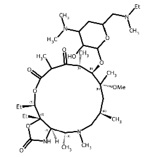 CC[C@H]1OC(=O)C(C)C(=O)[C@H](C)[C@@H](OC2OC(CN(C)CC)CC(N(C)C)C2O)[C@](C)(OC)C[C@@H](C)CN(C)[C@H](C)[C@H]2NC(=O)O[C@@]21CC